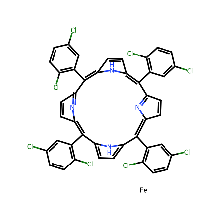 Clc1ccc(Cl)c(-c2c3nc(c(-c4cc(Cl)ccc4Cl)c4ccc([nH]4)c(-c4cc(Cl)ccc4Cl)c4nc(c(-c5cc(Cl)ccc5Cl)c5ccc2[nH]5)C=C4)C=C3)c1.[Fe]